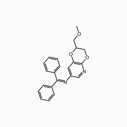 COCC1COc2ncc(N=C(c3ccccc3)c3ccccc3)cc2O1